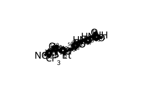 CCc1cc(N2C(=S)N(c3ccc(C#N)c(C(F)(F)F)c3)C(=O)C2(C)C)ccc1OCCN1CCN(CC(=O)Nc2cccc(NC3CCC(=O)NC3=O)c2)C[C@H]1C